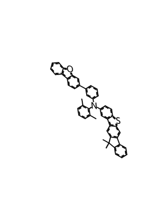 Cc1cccc(C)c1N(c1cccc(-c2ccc3c(c2)oc2ccccc23)c1)c1ccc2sc3cc4c(cc3c2c1)C(C)(C)c1ccccc1-4